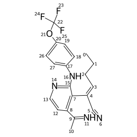 CCC/C=C(/C#N)c1c(C(C)=N)ccnc1Nc1ccc(OC(F)(F)F)cc1